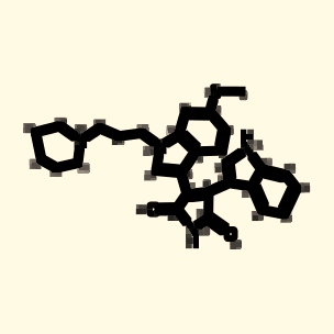 CSc1ccc2c(C3=C(c4c[nH]c5ccccc45)C(=O)NC3=O)cn(CCCN3CCCCC3)c2c1